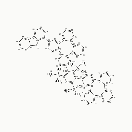 CC(C)(C)c1cc(C(C)(C)C)c(-c2ncc3c(n2)-c2ccccc2-c2ccccc2-c2cc(-c4cccc5c4sc4ccccc45)ccc2-3)c(C(C)(C)C)c1-c1ccc2c(c1)-c1ccccc1-c1ccccc1-c1ccccc1-2